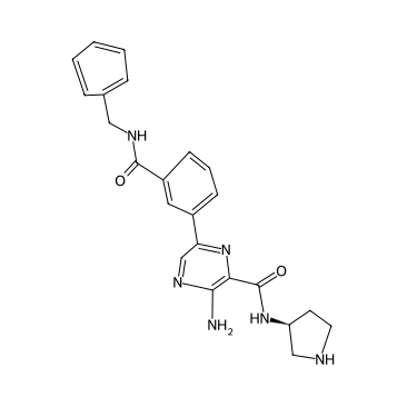 Nc1ncc(-c2cccc(C(=O)NCc3ccccc3)c2)nc1C(=O)N[C@H]1CCNC1